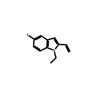 C=Cc1cc2cc(F)ccc2n1CC